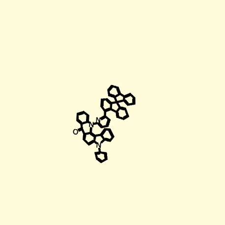 O=c1c2ccccc2n(-c2cccc(-c3cccc4c3-c3ccccc3C43c4ccccc4-c4ccccc43)n2)c2c1ccc1c2c2ccccc2n1-c1ccccc1